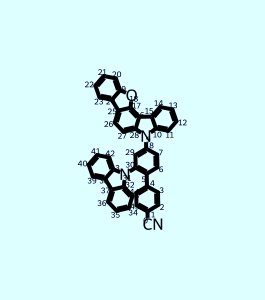 N#Cc1ccc(-c2ccc(-n3c4ccccc4c4c5oc6ccccc6c5ccc43)cc2-n2c3ccccc3c3ccccc32)cc1